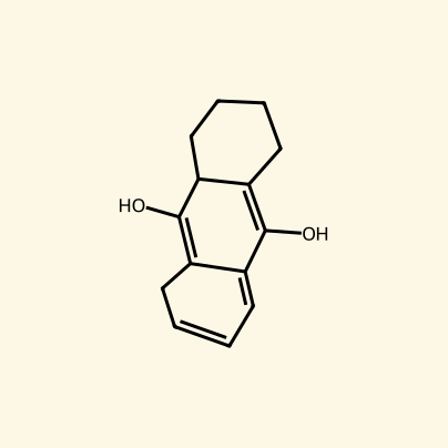 OC1=C2CCCCC2C(O)=C2CC=CC=C12